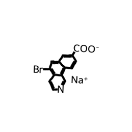 O=C([O-])c1ccc2c(c1)cc(Br)c1ccncc12.[Na+]